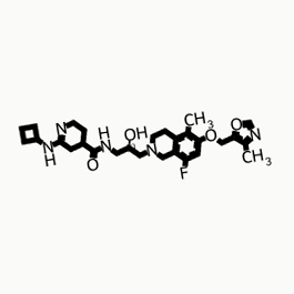 Cc1ncoc1COc1cc(F)c2c(c1C)CCN(C[C@@H](O)CNC(=O)C1CCN=C(NC3CCC3)C1)C2